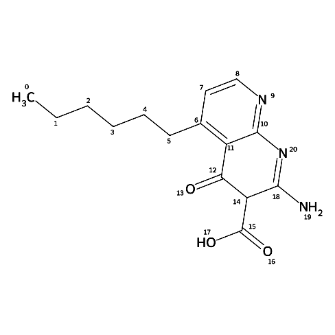 CCCCCCc1ccnc2c1C(=O)C(C(=O)O)C(N)=N2